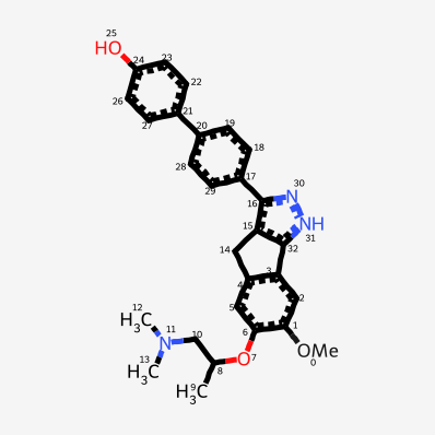 COc1cc2c(cc1OC(C)CN(C)C)Cc1c(-c3ccc(-c4ccc(O)cc4)cc3)n[nH]c1-2